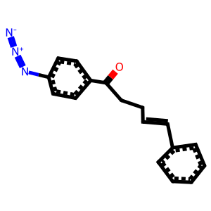 [N-]=[N+]=Nc1ccc(C(=O)CCC=Cc2ccccc2)cc1